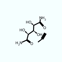 C#CC.NC(=O)[C@@H](O)[C@H](O)[C@@H](O)C(N)=O